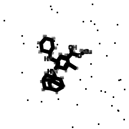 Cc1cc(NC23CC4CC(CC(C4)C2)C3)c(NC2CCCCC2)cc1C(O)OC(C)(C)C